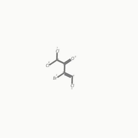 O=C(C(Br)=CCl)C(Cl)Cl